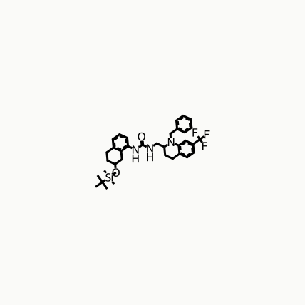 CC(C)(C)[Si](C)(C)OC1CCc2cccc(NC(=O)NCC3CCc4ccc(C(F)(F)F)cc4N3Cc3ccccc3)c2C1